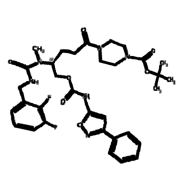 CN(C(=O)NCc1cccc(F)c1F)[C@@H](CCC(=O)N1CCN(C(=O)OC(C)(C)C)CC1)COC(=O)Nc1cc(-c2ccccc2)no1